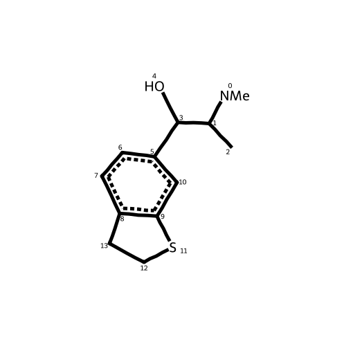 CNC(C)C(O)c1ccc2c(c1)SCC2